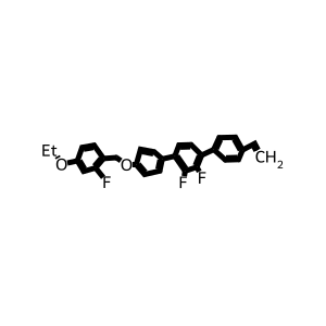 C=Cc1ccc(-c2ccc(-c3ccc(OCc4ccc(OCC)cc4F)cc3)c(F)c2F)cc1